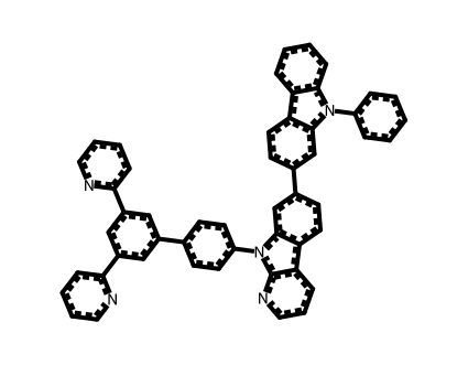 c1ccc(-n2c3ccccc3c3ccc(-c4ccc5c6cccnc6n(-c6ccc(-c7cc(-c8ccccn8)cc(-c8ccccn8)c7)cc6)c5c4)cc32)cc1